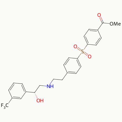 COC(=O)c1ccc(S(=O)(=O)c2ccc(CCNC[C@H](O)c3cccc(C(F)(F)F)c3)cc2)cc1